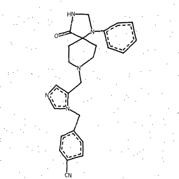 N#Cc1ccc(Cn2cncc2CN2CCC3(CC2)C(=O)NCN3c2ccccc2)cc1